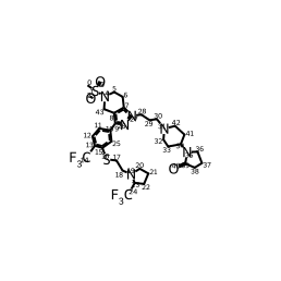 CS(=O)(=O)N1CCc2c(c(-c3ccc(C(F)(F)F)c(SCCN4CCCC4C(F)(F)F)c3)nn2CCCN2CCC(N3CCCC3=O)CC2)C1